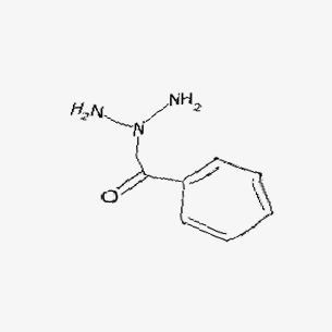 NN(N)C(=O)c1ccccc1